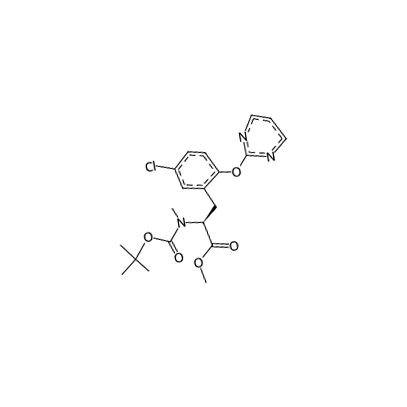 COC(=O)[C@H](Cc1cc(Cl)ccc1Oc1ncccn1)N(C)C(=O)OC(C)(C)C